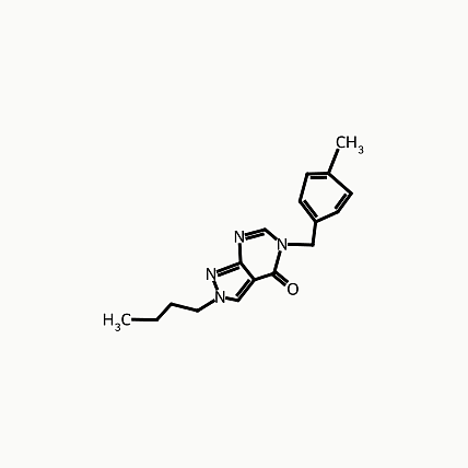 CCCCn1cc2c(=O)n(Cc3ccc(C)cc3)cnc2n1